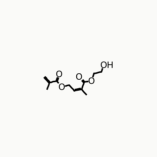 C=C(C)C(=O)OCC=C(C)C(=O)OCCO